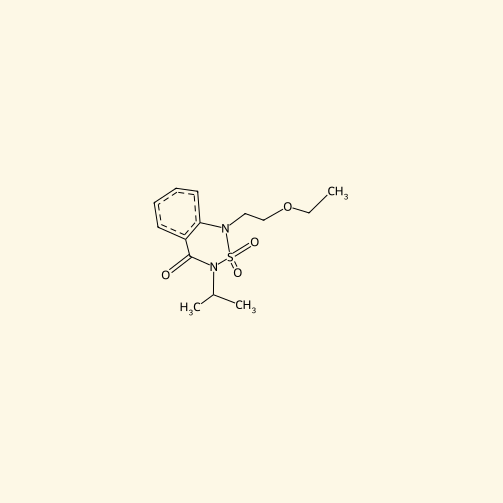 CCOCCN1c2ccccc2C(=O)N(C(C)C)S1(=O)=O